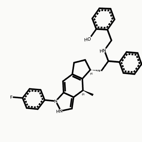 C[C@H]1C2=CNN(c3ccc(F)cc3)C2=CC2=C1[C@@H](CC(NCc1ccccc1O)c1ccccc1)CC2